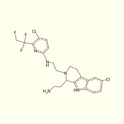 NCCC1c2[nH]c3ccc(Cl)cc3c2CCN1CCNc1ccc(Cl)c(C(F)(F)CF)n1